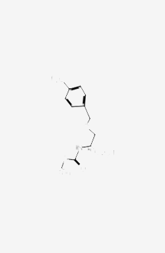 CC(C)(C)OC(=O)N[C@H](COCc1ccc(C(F)(F)F)cc1)C(=O)O